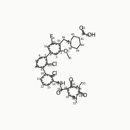 COc1cc(-c2cccc(-c3cccc(NC(=O)c4cn(C)c(=O)n(C)c4=O)c3Cl)c2Cl)cc(F)c1CN1CCC[C@@H](C(=O)O)C1